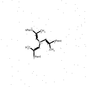 CCCCC/C(C)=C/[Si](/C=C(\C)CCCCC)/C=C(\C)CCCCC